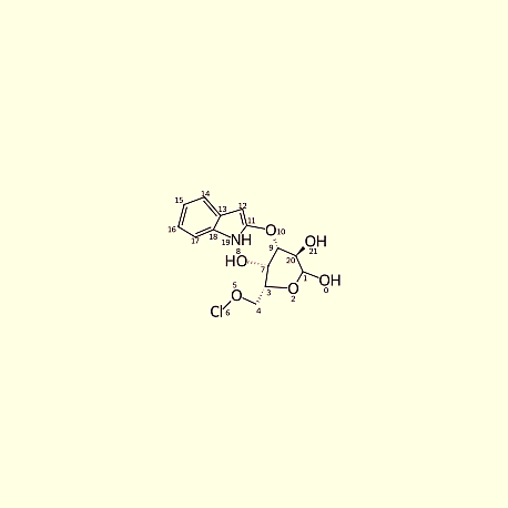 OC1O[C@H](COCl)[C@H](O)[C@H](Oc2cc3ccccc3[nH]2)[C@H]1O